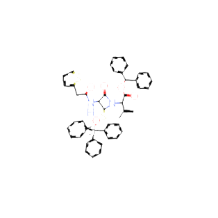 C=C(C)C(C(=O)OC(c1ccccc1)c1ccccc1)N1C(=O)C(NC(=O)Cc2cccs2)C1SO[Si](c1ccccc1)(c1ccccc1)c1ccccc1